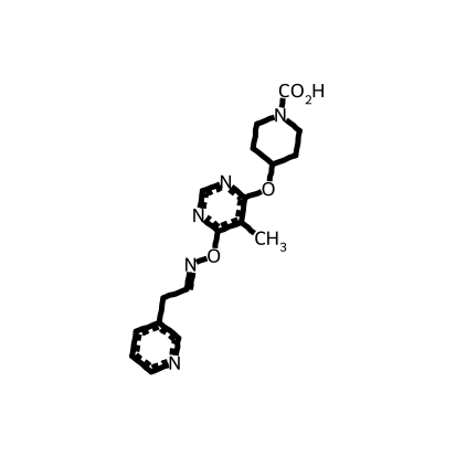 Cc1c(ON=CCc2cccnc2)ncnc1OC1CCN(C(=O)O)CC1